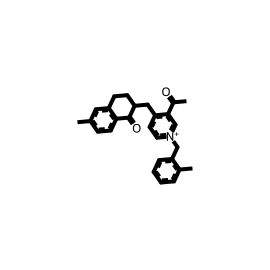 CC(=O)c1c[n+](Cc2ccccc2C)ccc1CC1CCc2cc(C)ccc2C1=O